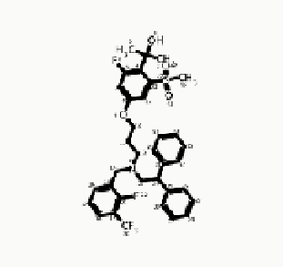 CC(C)(O)c1c(F)cc(OCCCN(Cc2cccc(C(F)(F)F)c2F)CC(c2ccccc2)c2ccccc2)cc1S(C)(=O)=O